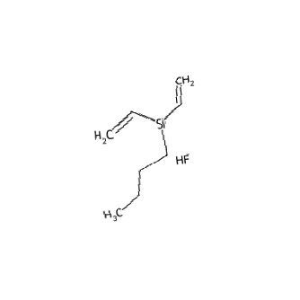 C=C[Si](C=C)CCCC.F